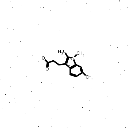 Cc1ccc2c(CCC(=O)O)c(C)n(C)c2c1